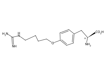 N=C(N)NCCCCOc1ccc(C[C@H](N)C(=O)O)cc1